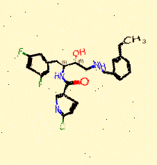 CCc1cccc(CNC[C@@H](O)[C@H](Cc2cc(F)cc(F)c2)NC(=O)c2ccc(Cl)nc2)c1